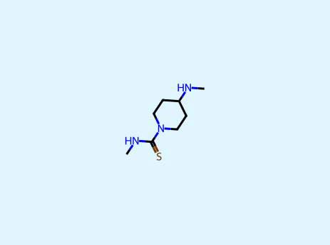 CNC(=S)N1CCC(NC)CC1